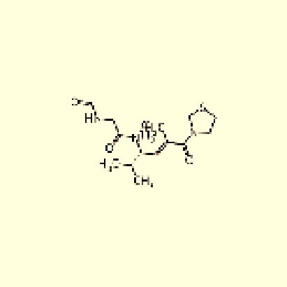 C/C(=C\[C@H](C(C)C)N(C)C(=O)CNC=O)C(=O)N1CCSC1